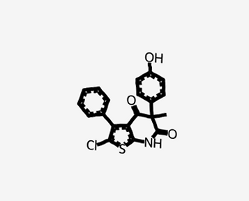 CC1(c2ccc(O)cc2)C(=O)Nc2sc(Cl)c(-c3ccccc3)c2C1=O